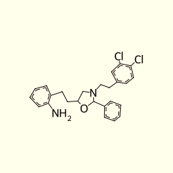 Nc1ccccc1CCC1CN(CCc2ccc(Cl)c(Cl)c2)C(c2ccccc2)O1